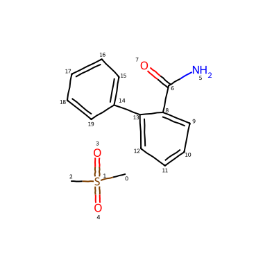 CS(C)(=O)=O.NC(=O)c1ccccc1-c1ccccc1